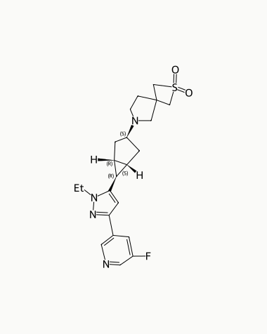 CCn1nc(-c2cncc(F)c2)cc1[C@H]1[C@@H]2C[C@@H](N3CCC4(C3)CS(=O)(=O)C4)C[C@@H]21